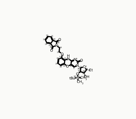 CC[C@H]1O[C@@H](n2cc3c(nc2=O)Nc2c(OCCN4C(=O)c5ccccc5C4=O)cccc2O3)C(O[Si](C)(C)C(C)(C)C)[C@H]1O